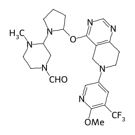 COc1ncc(N2CCc3ncnc(OC4CCCN4C4CN(C=O)CCN4C)c3C2)cc1C(F)(F)F